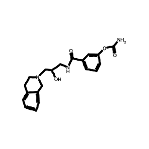 NC(=O)Oc1cccc(C(=O)NCC(O)CN2CCc3ccccc3C2)c1